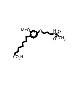 COc1cc(OCCCNS(C)(=O)=O)ccc1CCCCCCCC(=O)O